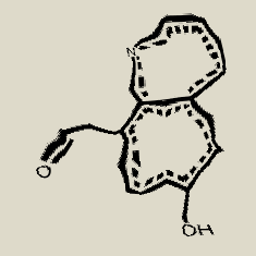 O=Cc1cc(O)cc2cccnc12